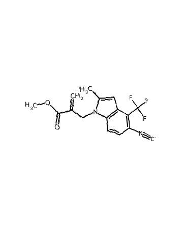 [C-]#[N+]c1ccc2c(cc(C)n2CC(=C)C(=O)OC)c1C(F)(F)F